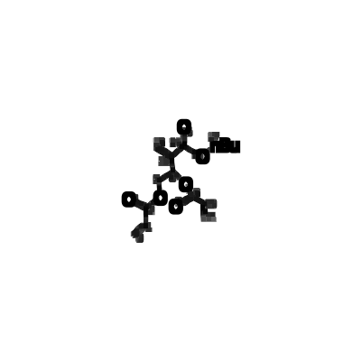 C=CC(=O)OCC(OC(=O)C=C)C(=C)C(=O)OCCCC